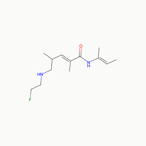 C/C=C(\C)NC(=O)/C(C)=C/C(C)CNCCF